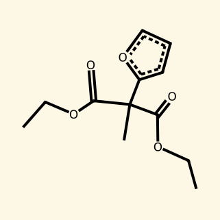 CCOC(=O)C(C)(C(=O)OCC)c1ccco1